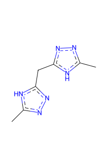 Cc1nnc(Cc2nnc(C)[nH]2)[nH]1